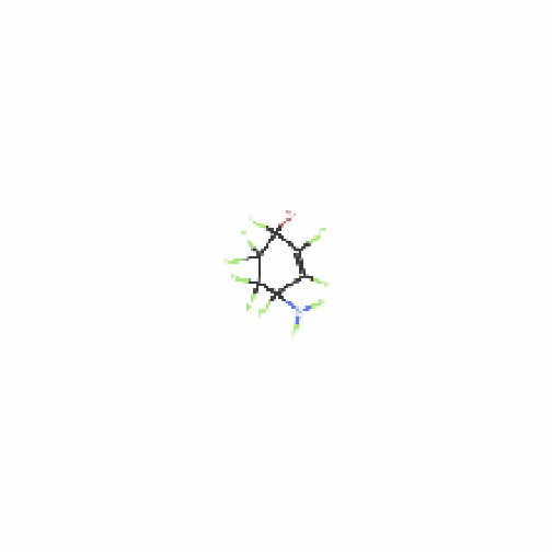 FC1=C(F)C(F)(N(F)F)C(F)(F)C(F)(F)C1(F)Br